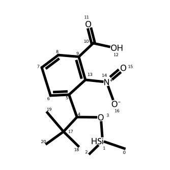 C[SiH](C)OC(c1cccc(C(=O)O)c1[N+](=O)[O-])C(C)(C)C